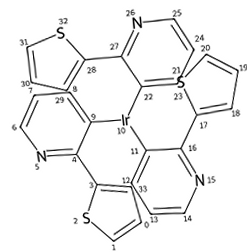 c1csc(-c2nccc[c]2[Ir]([c]2cccnc2-c2cccs2)[c]2cccnc2-c2cccs2)c1